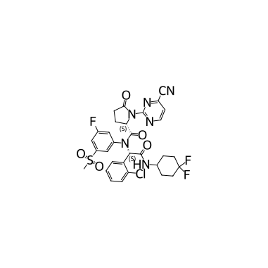 CS(=O)(=O)c1cc(F)cc(N(C(=O)[C@@H]2CCC(=O)N2c2nccc(C#N)n2)[C@H](C(=O)NC2CCC(F)(F)CC2)c2ccccc2Cl)c1